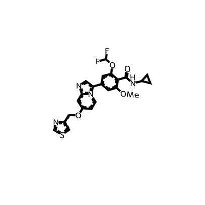 COc1cc(-c2cnc3cc(OCc4cscn4)ccn23)cc(OC(F)F)c1C(=O)NC1CC1